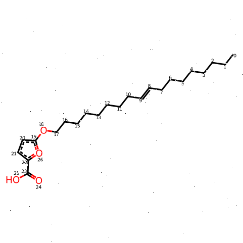 CCCCCCCCC=CCCCCCCCCOc1ccc(C(=O)O)o1